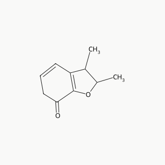 CC1OC2=C(C=CCC2=O)C1C